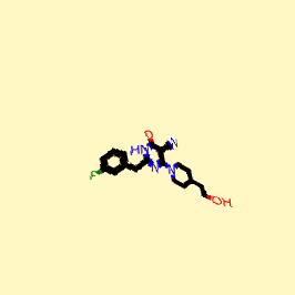 N#Cc1c(N2CCC(CCO)CC2)nc(Cc2cccc(F)c2)[nH]c1=O